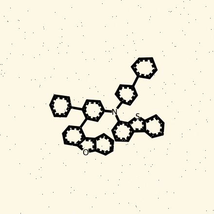 c1ccc(-c2ccc(N(c3ccc(-c4ccccc4)c(-c4cccc5oc6ccccc6c45)c3)c3cccc4c3sc3ccccc34)cc2)cc1